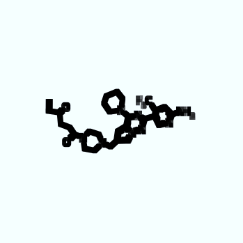 C=CC(=O)CCC(=O)N1CCN(Cc2cc3c(N4CCCCC4)nc(-c4cnc(N)cc4C(F)(F)F)nn3c2)CC1